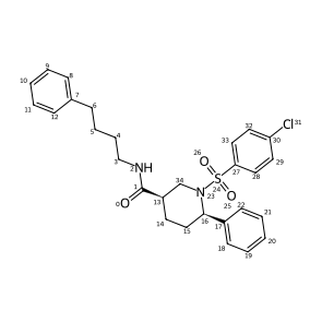 O=C(NCCCCc1ccccc1)[C@@H]1CC[C@H](c2ccccc2)N(S(=O)(=O)c2ccc(Cl)cc2)C1